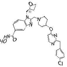 O=C(NO)c1ccc2c(c1)nc(CN1CCC(Oc3ccnc(Cc4ccc(Cl)cc4)n3)CC1)n2C[C@@H]1CCO1